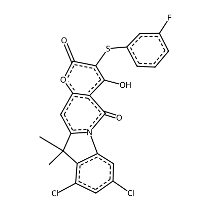 CC1(C)c2c(Cl)cc(Cl)cc2-n2c1cc1oc(=O)c(Sc3cccc(F)c3)c(O)c1c2=O